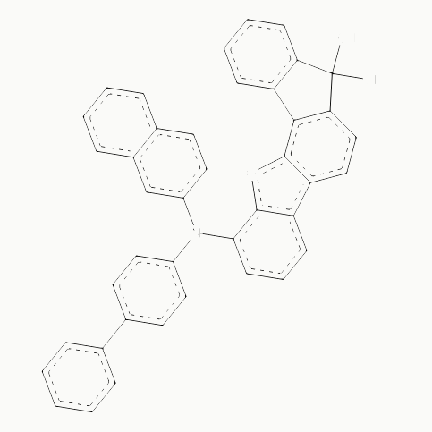 CC1(C)c2ccccc2-c2c1ccc1c2oc2c(N(c3ccc(-c4ccccc4)cc3)c3ccc4ccccc4c3)cccc21